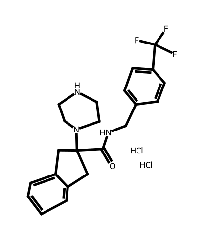 Cl.Cl.O=C(NCc1ccc(C(F)(F)F)cc1)C1(N2CCNCC2)Cc2ccccc2C1